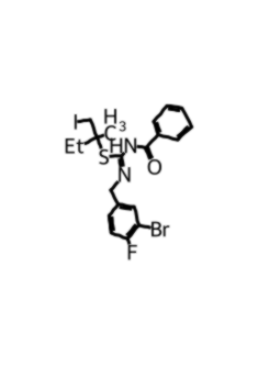 CCC(C)(CI)S/C(=N\Cc1ccc(F)c(Br)c1)NC(=O)c1ccccc1